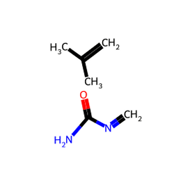 C=C(C)C.C=NC(N)=O